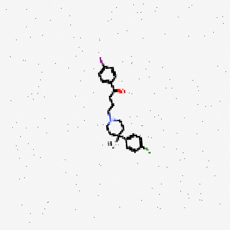 CC1(c2ccc(Cl)cc2)CCN(CCCC(=O)c2ccc(I)cc2)CC1